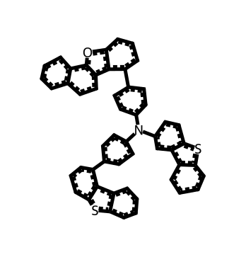 c1ccc2c(c1)ccc1c2oc2cccc(-c3ccc(N(c4ccc(-c5cccc6sc7ccccc7c56)cc4)c4ccc5sc6ccccc6c5c4)cc3)c21